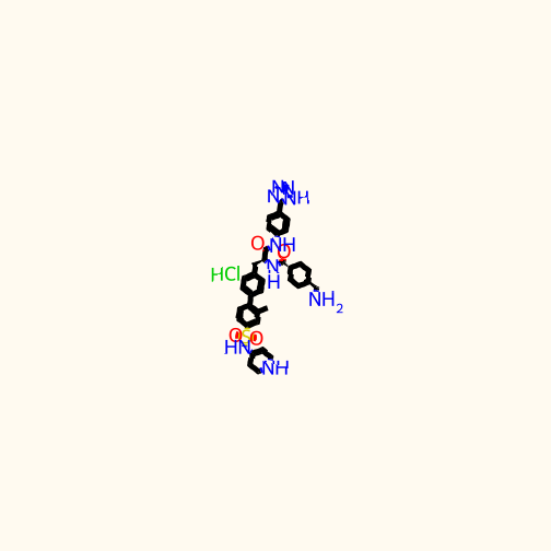 Cc1cc(S(=O)(=O)NC2CCNCC2)ccc1-c1ccc(C[C@H](NC(=O)[C@H]2CC[C@H](CN)CC2)C(=O)Nc2ccc(-c3nnn[nH]3)cc2)cc1.Cl